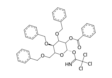 N=C(O[C@@H]1OC(COCc2ccccc2)[C@@H](OCc2ccccc2)C(OCc2ccccc2)C1OC(=O)c1ccccc1)C(Cl)(Cl)Cl